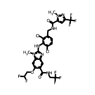 Cn1nc(C(F)(F)F)cc1C(=O)NCc1ccc(Cl)c(Nc2nc3cc(C(=O)NCC(F)(F)F)c(OCC(F)F)cc3n2C)c1Cl